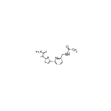 CC(=O)NCc1cccc(-c2csc(NC(N)=S)n2)n1